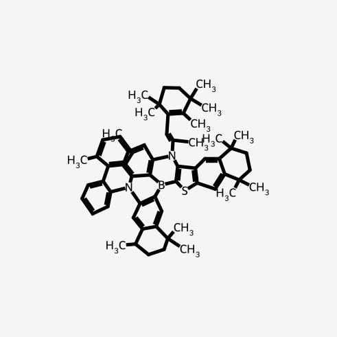 CC1=C(/C=C(\C)N2c3cc(C)cc4c3B(c3cc5c(cc3N4c3ccccc3-c3ccccc3C)C(C)CCC5(C)C)c3sc4cc5c(cc4c32)C(C)(C)CCC5(C)C)C(C)(C)CCC1(C)C